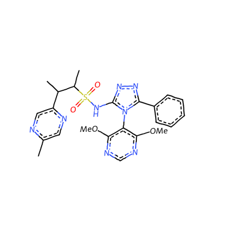 COc1ncnc(OC)c1-n1c(NS(=O)(=O)C(C)C(C)c2cnc(C)cn2)nnc1-c1ccccc1